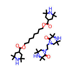 CC1(C)CC(C(=O)OCCCCCCCCOC(=O)C2CC(C)(C)NC(C)(C)C2)CC(C)(C)N1.CC1(C)CN(CCN2CC(C)(C)NC(C)(C)C2=O)C(=O)C(C)(C)N1